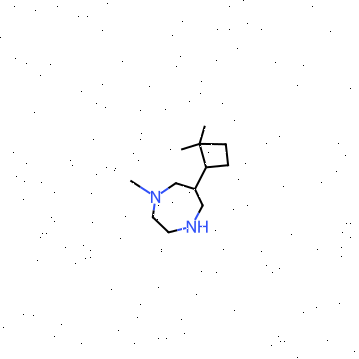 CN1CCNCC(C2CCC2(C)C)C1